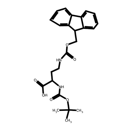 CC(C)(C)OC(=O)NC(CCNC(=O)OCC1c2ccccc2-c2ccccc21)C(=O)O